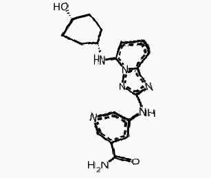 NC(=O)c1cncc(Nc2nc3cccc(N[C@H]4CC[C@@H](O)CC4)n3n2)c1